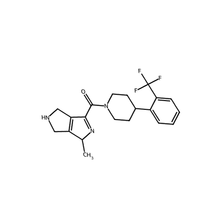 CC1N=C(C(=O)N2CCC(c3ccccc3C(F)(F)F)CC2)C2=C1CNC2